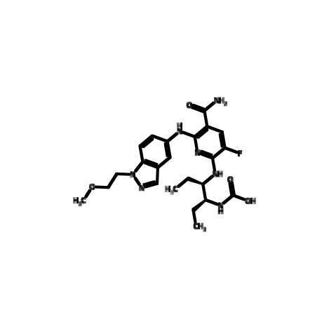 CC[C@H](NC(=O)O)[C@@H](CC)Nc1nc(Nc2ccc3c(cnn3CCOC)c2)c(C(N)=O)cc1F